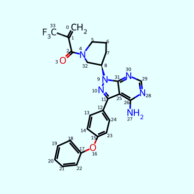 C=C(C(=O)N1CCC[C@@H](n2nc(-c3ccc(Oc4ccccc4)cc3)c3c(N)ncnc32)C1)C(F)(F)F